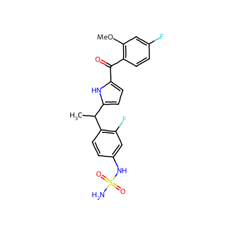 COc1cc(F)ccc1C(=O)c1ccc(C(C)c2ccc(NS(N)(=O)=O)cc2F)[nH]1